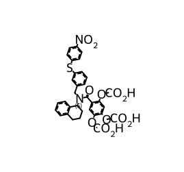 O=C(O)Oc1cc(OC(=O)O)c(C(=O)N(Cc2cccc(Sc3ccc([N+](=O)[O-])cc3)c2)[C@H]2CCCc3ccccc32)cc1OC(=O)O